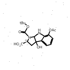 CC(=O)Oc1cccc2c1NC1N(C(=O)OC(C)(C)C)[C@H](C(=O)O)CC21O